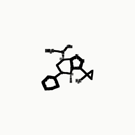 C[C@@H]1N(c2ccccc2)C[C@H](N(C(=O)O)C(C)(C)C)c2nnc(C3(C(F)(F)F)CC3)n21